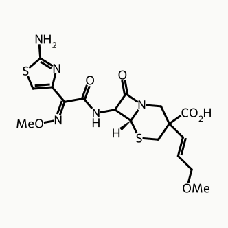 COCC=CC1(C(=O)O)CS[C@@H]2C(NC(=O)C(=NOC)c3csc(N)n3)C(=O)N2C1